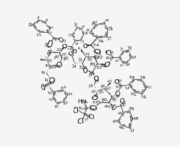 C[C@H]1[C@H](OC(=O)c2ccccc2)[C@@H](OC(=O)c2ccccc2)[C@H](OC[C@H]2O[C@@H](OC[C@H]3OC(OC(=N)C(Cl)(Cl)Cl)[C@H](OC(=O)c4ccccc4)[C@@H](OC(=O)c4ccccc4)[C@@H]3C)[C@H](OC(=O)c3ccccc3)[C@@H](OC(=O)c3ccccc3)[C@@H]2C)O[C@@H]1COC(=O)c1ccccc1